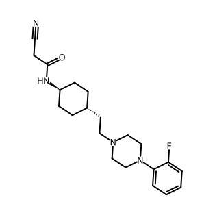 N#CCC(=O)N[C@H]1CC[C@H](CCN2CCN(c3ccccc3F)CC2)CC1